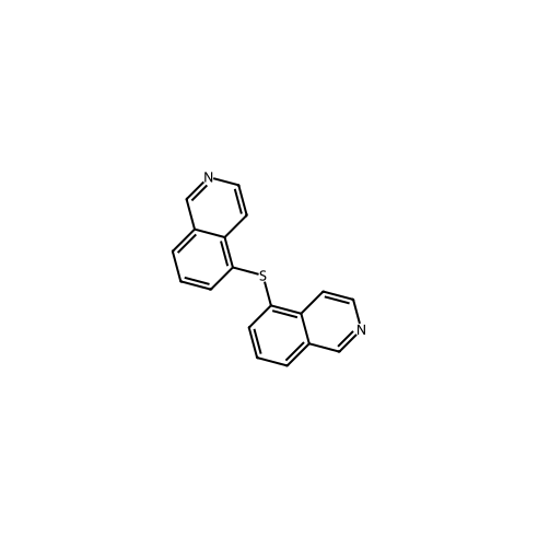 c1cc(Sc2cccc3cnccc23)c2ccncc2c1